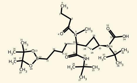 CCCC(=O)N(C)[C@](CCCCB1OC(C)(C)C(C)(C)O1)(C(=O)NC(C)(C)C)[C@H]1C[C@H](N(C(=O)O)C(C)(C)C)C1